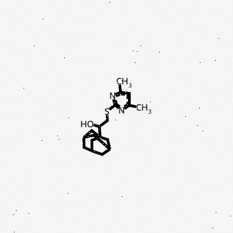 Cc1cc(C)nc(SCC(O)C23CC4CC(CC(C4)C2)C3)n1